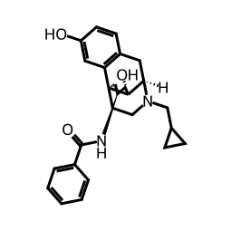 O=C(N[C@H]1C[C@]23CCN(CC4CC4)[C@H](Cc4ccc(O)cc42)[C@]3(O)C1)c1ccccc1